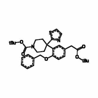 CC(C)(C)OC(=O)Cc1ccc(OCc2ccccc2)c(C2(c3nccs3)CCN(C(=O)OC(C)(C)C)CC2)c1